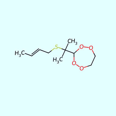 C/C=C/CSC(C)(C)C1OOCCOO1